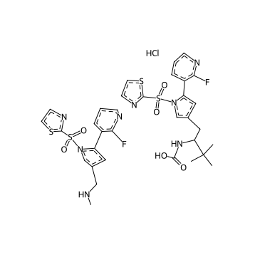 CC(C)(C)C(Cc1cc(-c2cccnc2F)n(S(=O)(=O)c2nccs2)c1)NC(=O)O.CNCc1cc(-c2cccnc2F)n(S(=O)(=O)c2nccs2)c1.Cl